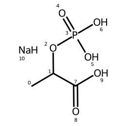 CC(OP(=O)(O)O)C(=O)O.[NaH]